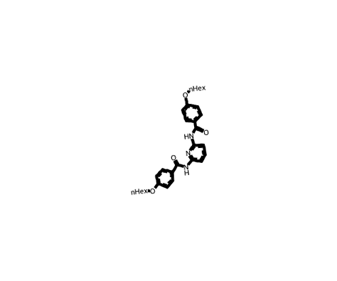 CCCCCCOc1ccc(C(=O)Nc2cccc(NC(=O)c3ccc(OCCCCCC)cc3)n2)cc1